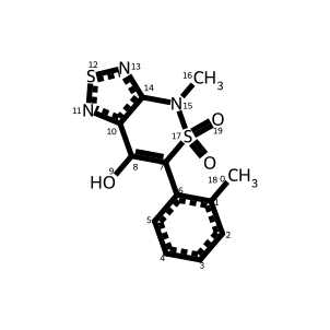 Cc1ccccc1C1=C(O)c2nsnc2N(C)S1(=O)=O